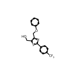 OCc1sc(-c2ccc(C(F)(F)F)cc2)nc1COc1ccccc1